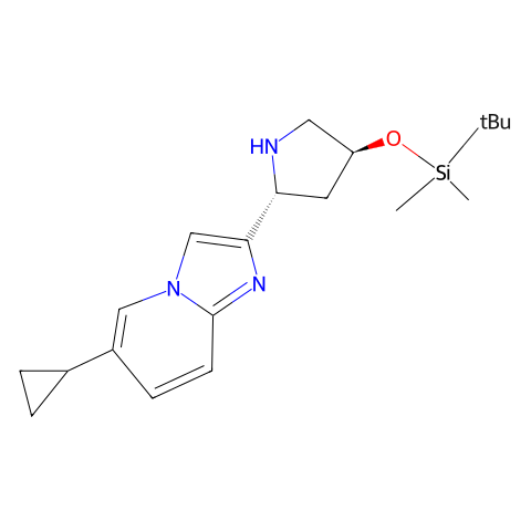 CC(C)(C)[Si](C)(C)O[C@@H]1CN[C@@H](c2cn3cc(C4CC4)ccc3n2)C1